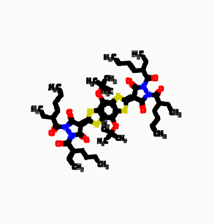 CCCCC(CC)C(=O)N1C(=O)C(=C2Sc3c(OC(C)(C)C)c4c(c(OC(C)(C)C)c3S2)SC(=C2C(=O)N(C(=O)C(CC)CCCC)N(C(=O)C(CC)CCCC)C2=O)S4)C(=O)N1C(=O)C(CC)CCCC